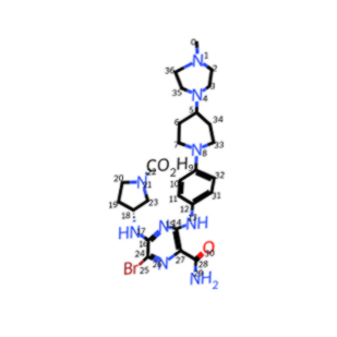 CN1CCN(C2CCN(c3ccc(Nc4nc(N[C@@H]5CCN(C(=O)O)C5)c(Br)nc4C(N)=O)cc3)CC2)CC1